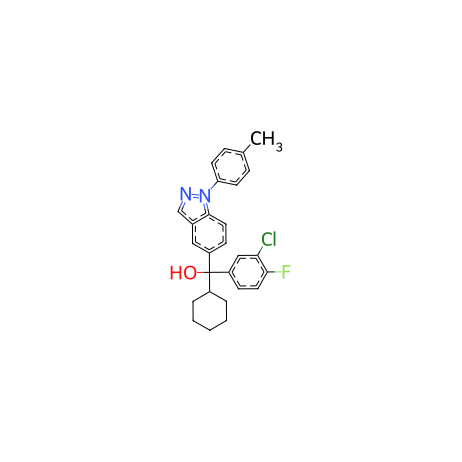 Cc1ccc(-n2ncc3cc(C(O)(c4ccc(F)c(Cl)c4)C4CCCCC4)ccc32)cc1